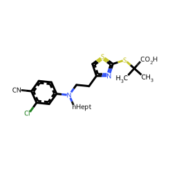 [C-]#[N+]c1ccc(N(CCCCCCC)CCc2csc(SC(C)(C)C(=O)O)n2)cc1Cl